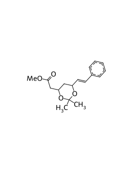 COC(=O)CC1CC(C=Cc2ccccc2)OC(C)(C)O1